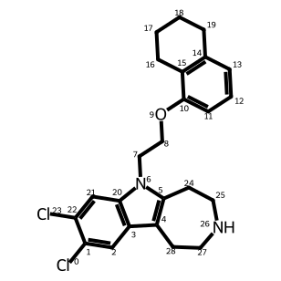 Clc1cc2c3c(n(CCOc4cccc5c4CCCC5)c2cc1Cl)CCNCC3